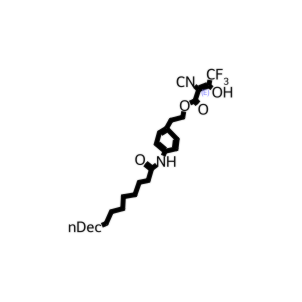 [C-]#[N+]/C(C(=O)OCCc1ccc(NC(=O)CCCCCCCCCCCCCCCCC)cc1)=C(/O)C(F)(F)F